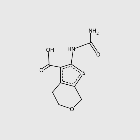 NC(=O)Nc1sc2c(c1C(=O)O)CCOC2